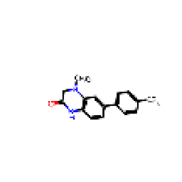 O=CN1CC(=O)Nc2ccc(-c3ccc(C(F)(F)F)cc3)cc21